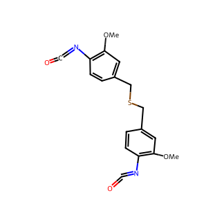 COc1cc(CSCc2ccc(N=C=O)c(OC)c2)ccc1N=C=O